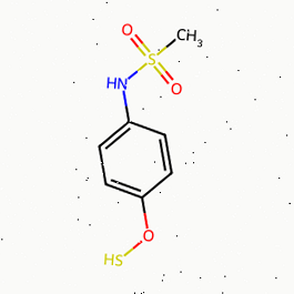 CS(=O)(=O)Nc1ccc(OS)cc1